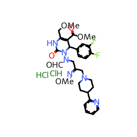 COCC1=C(C(=O)OC)C(c2ccc(F)c(F)c2)N(N(C=O)CC(CN2CCC(c3ccccn3)CC2)=NOC)C(=O)N1.Cl.Cl